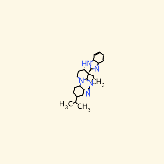 CCC1(C2N=C3C=CC=CC3N2)[CH]CCN(C2CCC(C(C)C)CC2)C1=NC#N